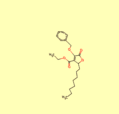 CCCCCCCCC1OC(=O)C(OCc2ccccc2)=C1C(=O)OCC